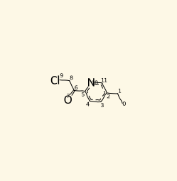 CCc1ccc(C(=O)CCl)nc1